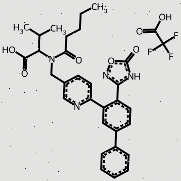 CCCCC(=O)N(Cc1ccc(-c2cc(-c3ccccc3)ccc2-c2noc(=O)[nH]2)nc1)C(C(=O)O)C(C)C.O=C(O)C(F)(F)F